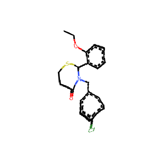 CCOc1ccccc1C1SCCC(=O)N1Cc1ccc(Cl)cc1